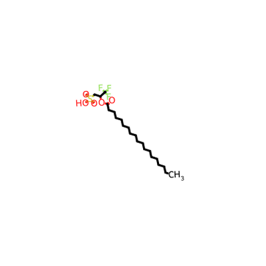 CCCCCCCCCCCCCCCCCCC(=O)OC(CS(=O)(=O)O)C(F)(F)F